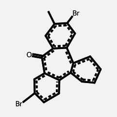 Cc1cc2c(=O)c3cc(Br)ccc3c3ccccc3c2cc1Br